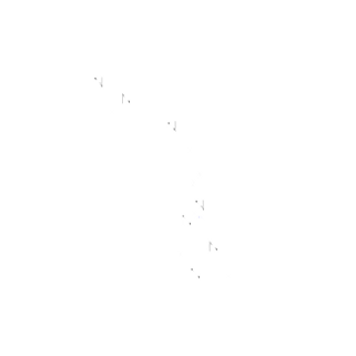 CCN(CCn1cc[n+](C)c1)c1ccc(/N=N/c2nc(Cl)ns2)cc1